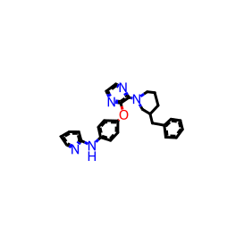 c1ccc(CC2CCCN(c3nccnc3Oc3ccc(Nc4ccccn4)cc3)C2)cc1